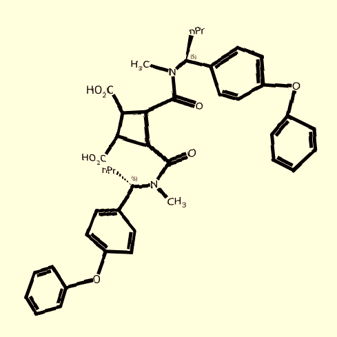 CCC[C@@H](c1ccc(Oc2ccccc2)cc1)N(C)C(=O)C1C(C(=O)O)C(C(=O)O)C1C(=O)N(C)[C@@H](CCC)c1ccc(Oc2ccccc2)cc1